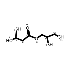 O=C(CC(O)S)OCC(S)CS